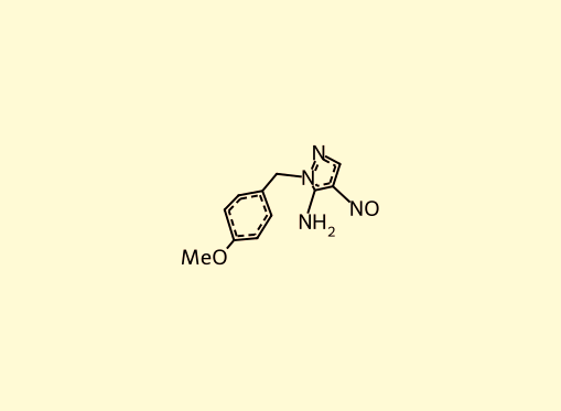 COc1ccc(Cn2ncc(N=O)c2N)cc1